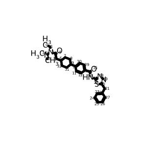 CCN(C(=O)CC1CCC(c2ccc(C(=O)Nc3nnc(Cc4ccccc4)s3)cc2)CC1)N(C)C